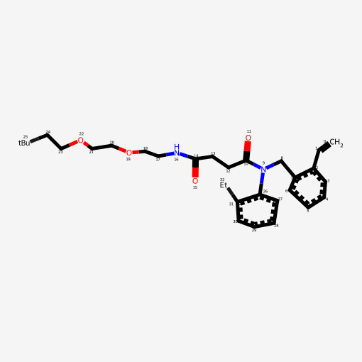 C=Cc1ccccc1CN(C(=O)CCC(=O)NCCOCCOCCC(C)(C)C)c1ccccc1CC